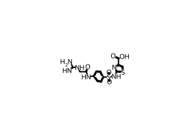 N=C(N)NCC(=O)Nc1ccc(S(=O)(=O)Nc2nc(C(=O)O)cs2)cc1